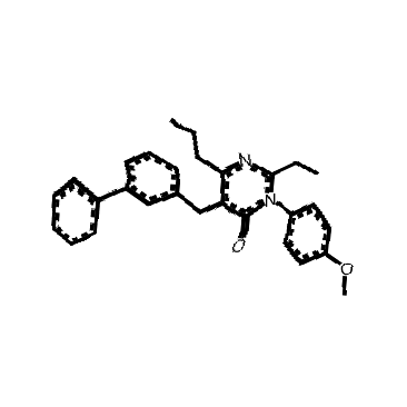 CCCc1nc(CC)n(-c2ccc(OC)cc2)c(=O)c1Cc1cccc(-c2ccccc2)c1